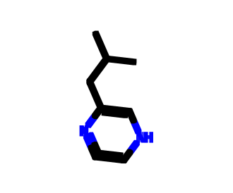 CC(C)CC1=CNC=C=N1